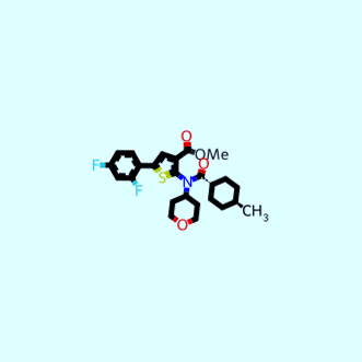 COC(=O)c1cc(-c2ccc(F)cc2F)sc1N(C(=O)[C@H]1CC[C@H](C)CC1)C1CCOCC1